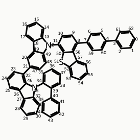 c1ccc(-c2ccc(-c3ccc(-n4c5ccccc5c5cc(-c6cccc7c8ccccc8n(-c8ccccc8-c8ccccc8)c67)ccc54)c4sc5ccccc5c34)cc2)cc1